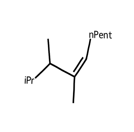 CCCCCC=C(C)C(C)C(C)C